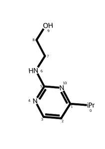 CC(C)c1ccnc(NCCO)n1